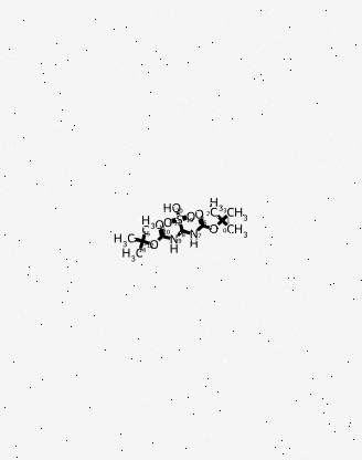 CC(C)(C)OC(=O)NC(NC(=O)OC(C)(C)C)S(=O)(=O)O